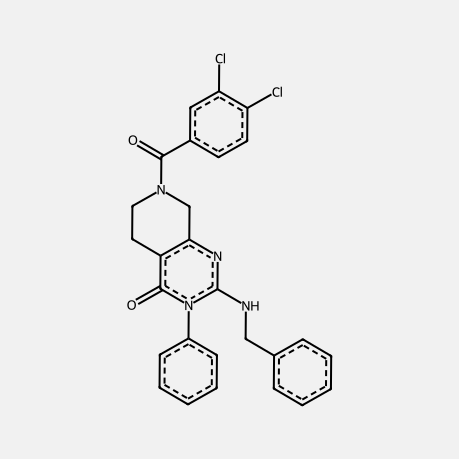 O=C(c1ccc(Cl)c(Cl)c1)N1CCc2c(nc(NCc3ccccc3)n(-c3ccccc3)c2=O)C1